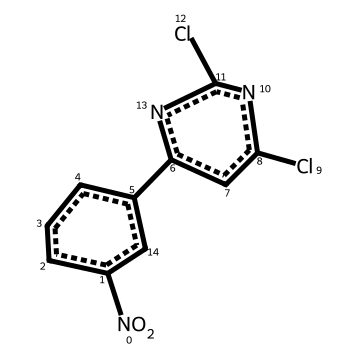 O=[N+]([O-])c1cccc(-c2cc(Cl)nc(Cl)n2)c1